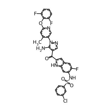 Cc1cc(Oc2c(F)cccc2F)ncc1-n1ncc(C(=O)c2cc3cc(F)c(NS(=O)(=O)c4cccc(Cl)c4)cc3[nH]2)c1N